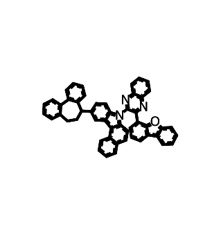 c1ccc2c(c1)CCC(c1ccc3c(c1)c1c4ccccc4ccc1n3-c1nc3ccccc3nc1-c1cccc3c1oc1ccccc13)c1ccccc1-2